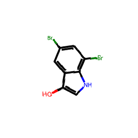 Oc1c[nH]c2c(Br)cc(Br)cc12